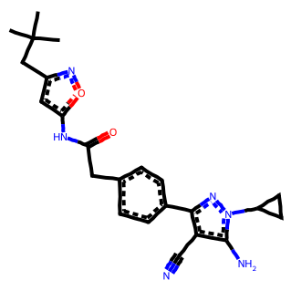 CC(C)(C)Cc1cc(NC(=O)Cc2ccc(-c3nn(C4CC4)c(N)c3C#N)cc2)on1